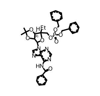 CCC1(COP(=O)(OCc2ccccc2)OCc2ccccc2)OC(n2cnc3c(NC(=O)c4ccccc4)ncnc32)C2OC(C)(C)O[C@H]21